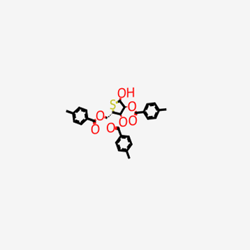 Cc1ccc(C(=O)OC[C@@H]2SC(O)[C@H](OC(=O)c3ccc(C)cc3)[C@H]2OC(=O)c2ccc(C)cc2)cc1